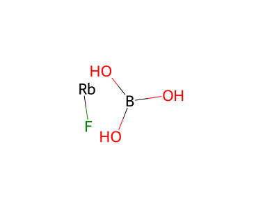 OB(O)O.[F][Rb]